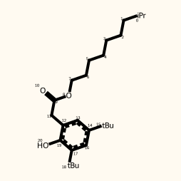 CC(C)CCCCCCCOC(=O)Cc1cc(C(C)(C)C)cc(C(C)(C)C)c1O